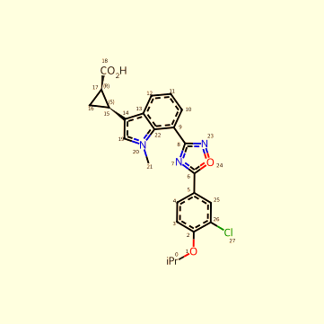 CC(C)Oc1ccc(-c2nc(-c3cccc4c([C@H]5C[C@H]5C(=O)O)cn(C)c34)no2)cc1Cl